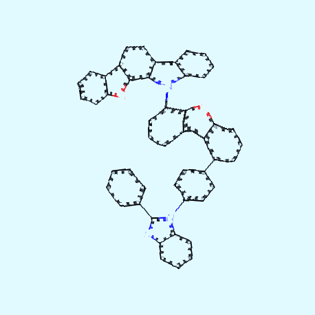 c1ccc(-c2nc3ccccc3n2-c2ccc(-c3cccc4oc5c(-n6c7ccccc7c7ccc8c9ccccc9oc8c76)cccc5c34)cc2)cc1